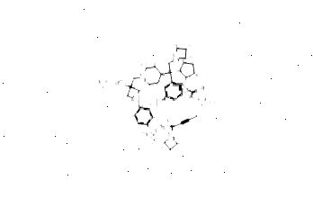 CC#CC(=O)N1CC[C@@H]1CS(=O)(=O)c1ccc(N2CC(CN3CCC(C(CN4CCC4)(c4cccc(F)c4)[C@H]4CCC[C@@H]4NC(=O)OC)CC3)(OC)C2)cc1